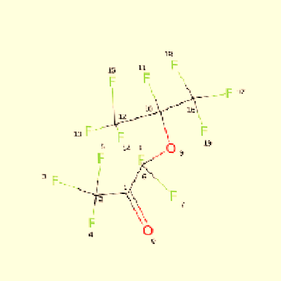 O=C(C(F)(F)F)C(F)(F)OC(F)(C(F)(F)F)C(F)(F)F